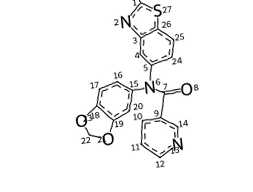 Cc1nc2cc(N(C(=O)c3cccnc3)c3ccc4c(c3)OCO4)ccc2s1